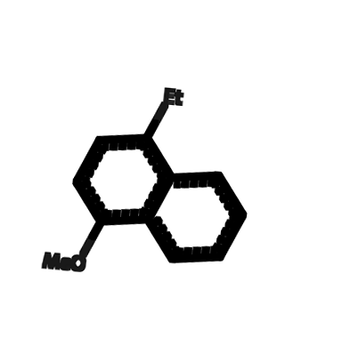 CCc1ccc(OC)c2ccccc12